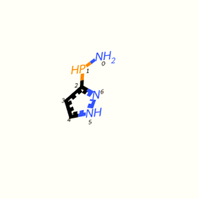 NPc1cc[nH]n1